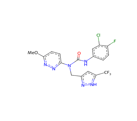 COc1ccc(N(Cc2cc(C(F)(F)F)[nH]n2)C(=O)Nc2ccc(F)c(Cl)c2)nn1